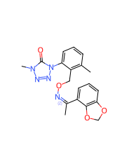 C/C(=N/OCc1c(C)cccc1-n1nnn(C)c1=O)c1cccc2c1OCO2